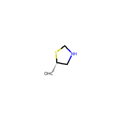 O=C[C@H]1CNCS1